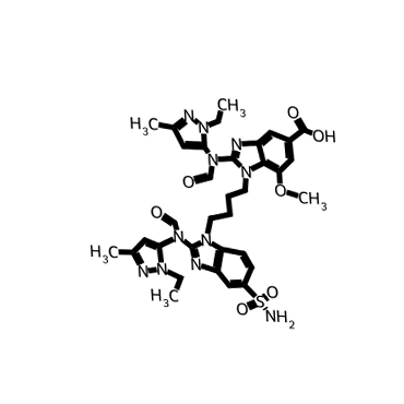 CCn1nc(C)cc1N(C=O)c1nc2cc(S(N)(=O)=O)ccc2n1CCCCn1c(N(C=O)c2cc(C)nn2CC)nc2cc(C(=O)O)cc(OC)c21